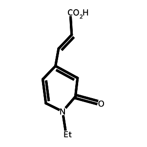 CCn1ccc(C=CC(=O)O)cc1=O